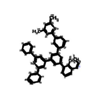 C/C=C\c1cccc(-c2cc(-c3cccc(-c4nc(C)cc(C)n4)c3)cc(-c3cc(-c4ccccc4)nc(-c4ccccc4)c3)c2)c1C